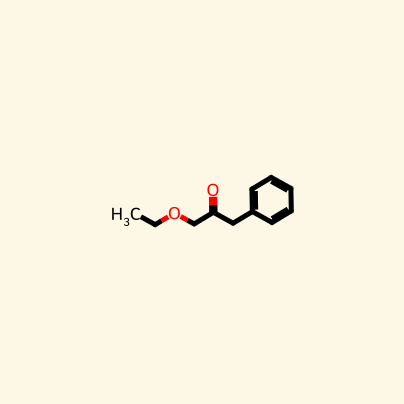 CCOCC(=O)Cc1ccccc1